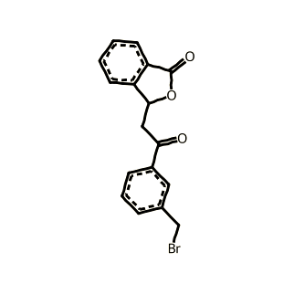 O=C(CC1OC(=O)c2ccccc21)c1cccc(CBr)c1